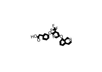 O=C(O)Cc1cccc(Oc2ncc(Oc3cccc4ccncc34)cc2C(F)(F)F)c1